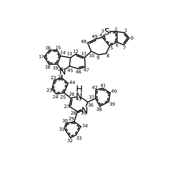 C1=Cc2sc3c(c2C=1)CCC(C1=CC2c4ccccc4N(c4cccc(C5=CC(c6ccccc6)=NC(c6ccccc6)N5)c4)C2C=C1)C=C3